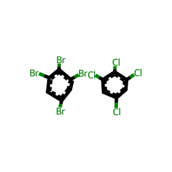 Brc1cc(Br)c(Br)c(Br)c1.Clc1cc(Cl)c(Cl)c(Cl)c1